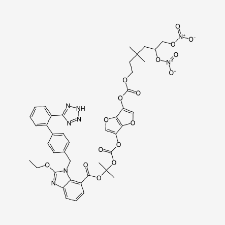 CCOc1nc2cccc(C(=O)OC(C)(C)OC(=O)Oc3coc4c(OC(=O)OCCC(C)(C)CC(CO[N+](=O)[O-])O[N+](=O)[O-])coc34)c2n1Cc1ccc(-c2ccccc2-c2nn[nH]n2)cc1